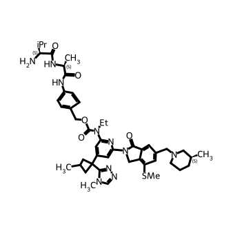 CCN(C(=O)OCc1ccc(NC(=O)[C@H](C)NC(=O)[C@@H](N)C(C)C)cc1)c1cc(C2(c3nncn3C)CC(C)C2)cc(N2Cc3c(SC)cc(CN4CCC[C@H](C)C4)cc3C2=O)n1